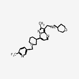 Cc1nn2c(C3CCCN(Cc4ccc(C(F)(F)F)nc4)C3)ccnc2c1CNCC1CCOCC1